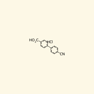 Cl.N#Cc1ccc(-c2ccc(C(=O)O)cc2)cc1